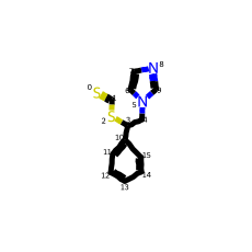 S=CSC(Cn1ccnc1)c1ccccc1